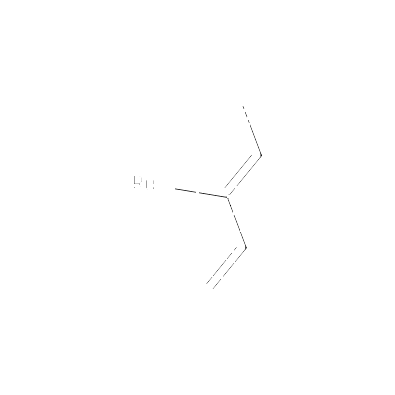 C=C/C(C)=C/C.[Ru]